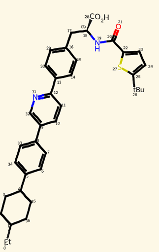 CCC1CCC(c2ccc(-c3ccc(-c4ccc(C[C@H](NC(=O)c5ccc(C(C)(C)C)s5)C(=O)O)cc4)nc3)cc2)CC1